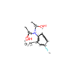 CB(O)N(B(C)O)c1ccc(F)cc1[N+](=O)[O-]